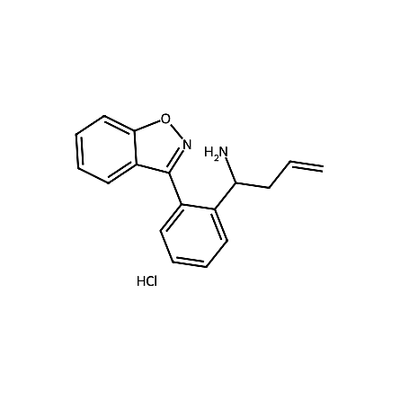 C=CCC(N)c1ccccc1-c1noc2ccccc12.Cl